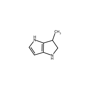 CC1CNc2cc[nH]c21